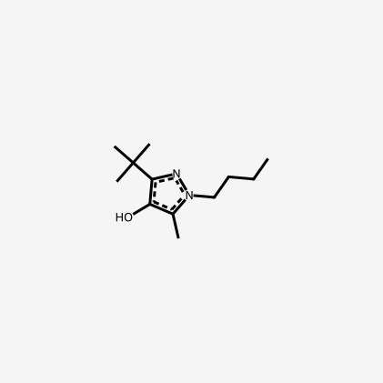 CCCCn1nc(C(C)(C)C)c(O)c1C